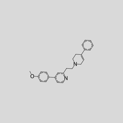 COc1ccc(-c2ccnc(CCN3CC=C(c4ccccc4)CC3)c2)cc1